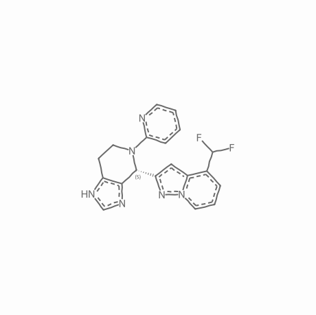 FC(F)c1cccn2nc([C@@H]3c4nc[nH]c4CCN3c3ccccn3)cc12